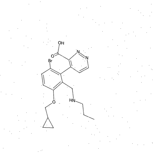 CCCNCc1c(OCC2CC2)ccc(Br)c1-c1ccnnc1C(=O)O